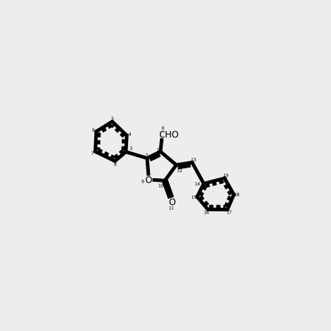 O=CC1=C(c2ccccc2)OC(=O)/C1=C\c1ccccc1